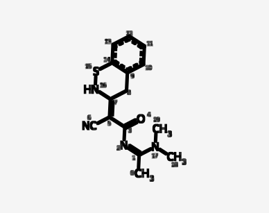 CC(=NC(=O)C(C#N)=C1Cc2ccccc2SN1)N(C)C